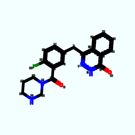 O=C(c1cc(Cc2n[nH]c(=O)c3ccccc23)ccc1F)N1CCCNC1